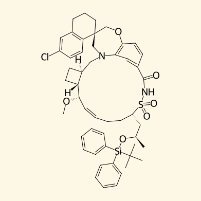 CO[C@H]1/C=C\CC[C@@H](C[C@@H](C)O[Si](c2ccccc2)(c2ccccc2)C(C)(C)C)S(=O)(=O)NC(=O)c2ccc3c(c2)N(C[C@@H]2CC[C@H]21)C[C@@]1(CCCc2cc(Cl)ccc21)CO3